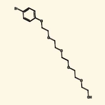 OCCOCCOCCOCCOCCOc1ccc(Br)cc1